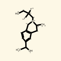 CC(O)c1ccc2c(c1)CC(C)N(CC(F)(F)CO)C2